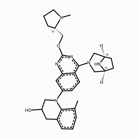 Cc1cccc2c1N(c1ccc3c(N4C[C@H]5CC[C@@H](C4)N5)nc(OC[C@@H]4CCCN4C)nc3c1)CC(O)C2